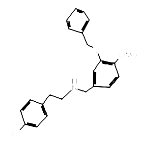 COc1ccc(CNCCc2ccc(O)cc2)cc1OCc1ccccc1